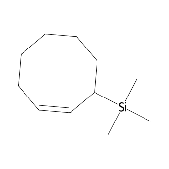 C[Si](C)(C)C1C=CCCCCC1